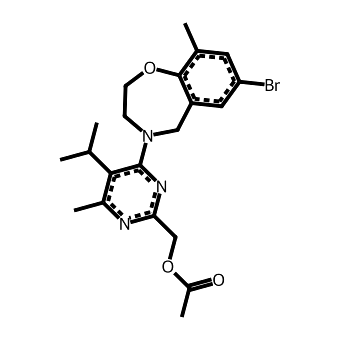 CC(=O)OCc1nc(C)c(C(C)C)c(N2CCOc3c(C)cc(Br)cc3C2)n1